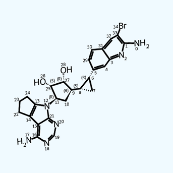 Nc1nc2cc([C@@H]3C[C@@H]3[C@H]3C[C@@H](n4c5c(c6c(N)ncnc64)CCC5)[C@H](O)[C@@H]3O)ccc2cc1Br